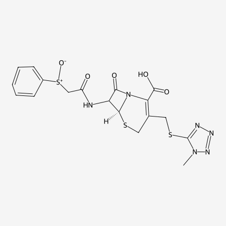 Cn1nnnc1SCC1=C(C(=O)O)N2C(=O)C(NC(=O)C[S+]([O-])c3ccccc3)[C@@H]2SC1